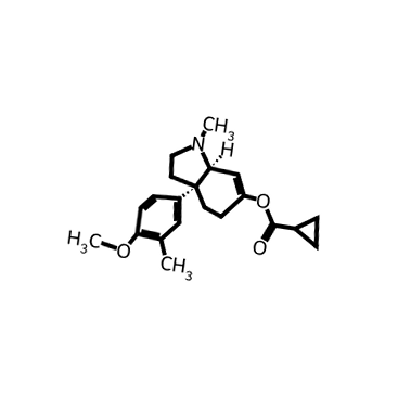 COc1ccc([C@@]23CCC(OC(=O)C4CC4)=C[C@@H]2N(C)CC3)cc1C